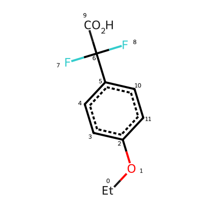 CCOc1ccc(C(F)(F)C(=O)O)cc1